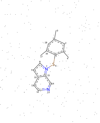 Cc1cc(C)c(Sn2ccc3ccncc32)c(C)c1